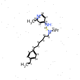 C=Cc1ccc(CCCCCCN(CCC)SNc2ccnc(C)c2)cc1